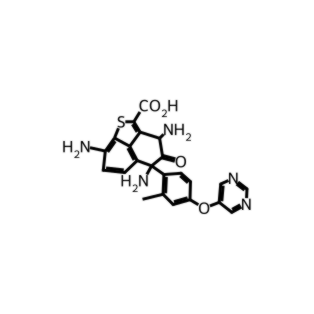 Cc1cc(Oc2cncnc2)ccc1C1(N)C(=O)C(N)c2c(C(=O)O)sc3c(N)ccc1c23